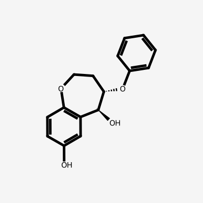 Oc1ccc2c(c1)[C@H](O)[C@@H](Oc1ccccc1)CCO2